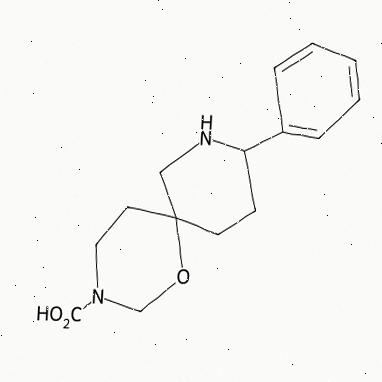 O=C(O)N1CCC2(CCC(c3ccccc3)NC2)OC1